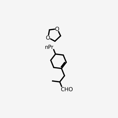 C1COCO1.CCCC1CC=C(CC(C)C=O)CC1